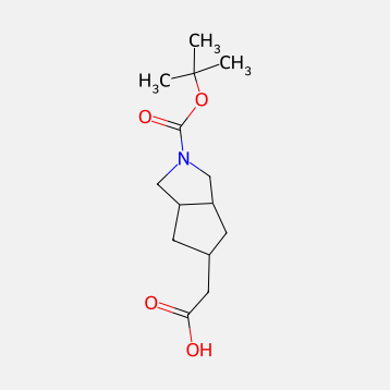 CC(C)(C)OC(=O)N1CC2CC(CC(=O)O)CC2C1